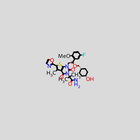 COc1ccc(F)cc1[C@H](Cn1c(=O)n(C(C)(C)C(N)=O)c(=O)c2c(C)c(-c3ncco3)sc21)OC[C@H]1CC[C@@H](O)CC1